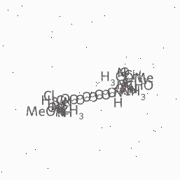 COC(=O)CC1N=C(c2ccc(Cl)cc2)c2c(sc(C(=O)NCCOCCOCCOCCOCCOCCOCCOCCNC(=O)CN(C)c3cnc4cc(-c5c(C)noc5C)c(OC)cc4c3N(C=O)Cc3ccccn3)c2C)-n2c(C)nnc21